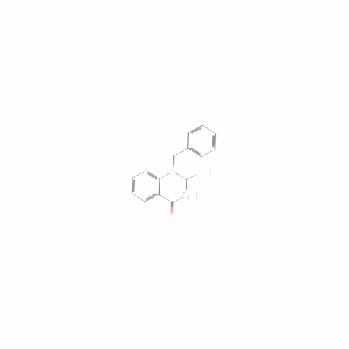 O=C1NC(S)N(Cc2ccccc2)c2ccccc21